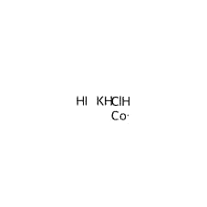 Cl.I.[Co].[KH]